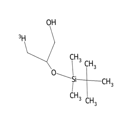 [3H]CC(CO)O[Si](C)(C)C(C)(C)C